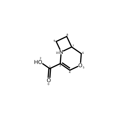 O=C(O)C1=COCC2CCN12